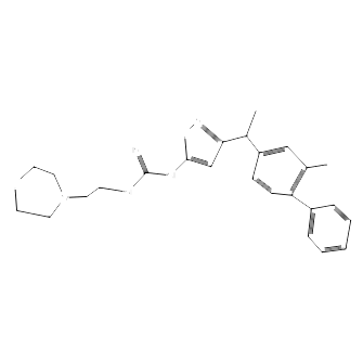 CC(c1ccc(-c2ccccc2)c(F)c1)c1cc(NC(=N)NCCN2CCOCC2)on1